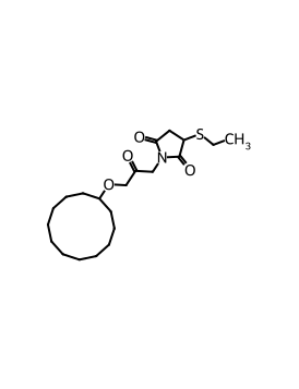 CCSC1CC(=O)N(CC(=O)COC2CCCCCCCCCCC2)C1=O